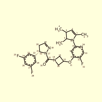 CC1=CC(C)C(C)N1c1cc(OC2CN(C(=O)N3N=CC[C@H]3c3cc(F)cc(F)c3)C2)c(F)cn1